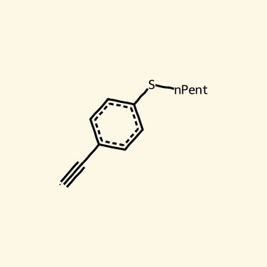 [C]#Cc1ccc(SCCCCC)cc1